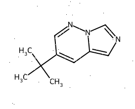 CC(C)(C)c1cnn2cncc2c1